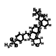 CS(=O)(=O)c1ccc(CN2CC3COCCN3c3nc(-c4cccc5[nH]c(C(F)(F)F)cc45)ncc32)cc1